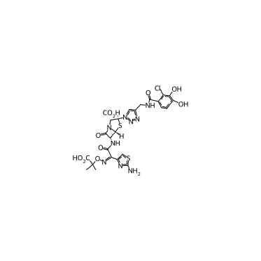 CC(C)(O/N=C(\C(=O)N[C@@H]1C(=O)N2C[C@@](C(=O)O)(n3cc(CNC(=O)c4ccc(O)c(O)c4Cl)nn3)S[C@H]12)c1csc(N)n1)C(=O)O